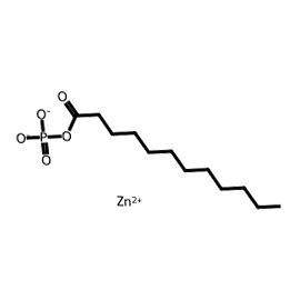 CCCCCCCCCCCC(=O)OP(=O)([O-])[O-].[Zn+2]